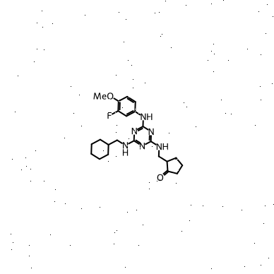 COc1ccc(Nc2nc(NCC3CCCCC3)nc(NCC3CCCC3=O)n2)cc1F